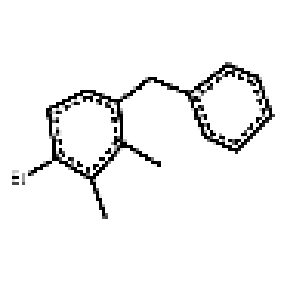 CCc1ccc(Cc2ccccc2)c(C)c1C